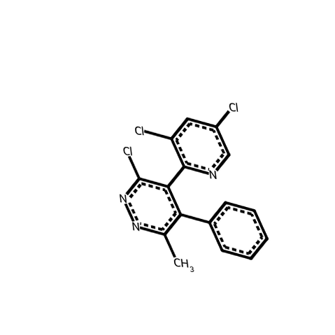 Cc1nnc(Cl)c(-c2ncc(Cl)cc2Cl)c1-c1ccccc1